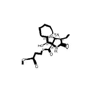 CC[C@@]1(N)C(=O)N[C@](C(=O)SCCC(=O)OC)([C@@H](O)[C@@H]2C=CCCC2)[C@@]1(C)O